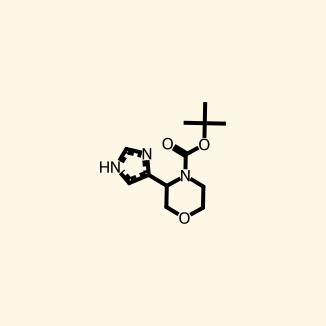 CC(C)(C)OC(=O)N1CCOCC1c1c[nH]cn1